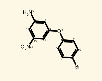 Nc1cc(Oc2ccc(Br)cc2)cc([N+](=O)[O-])c1